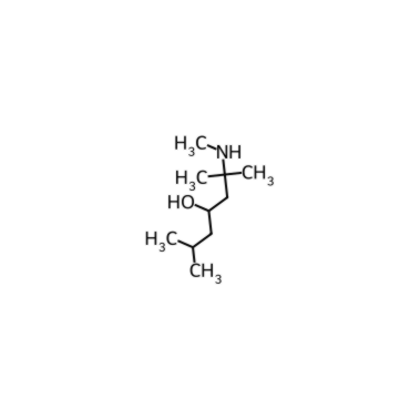 CNC(C)(C)CC(O)CC(C)C